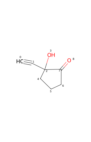 C#CC1(O)CCCC1=O